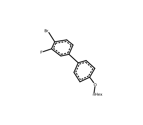 CCCCCCOc1ccc(-c2ccc(Br)c(F)c2)cc1